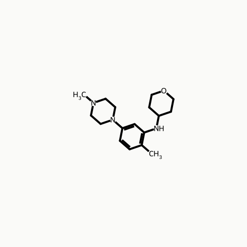 Cc1ccc(N2CCN(C)CC2)cc1NC1CCOCC1